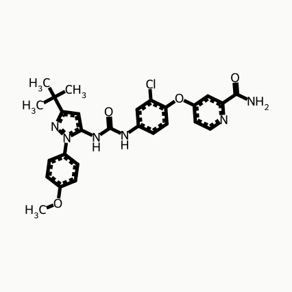 COc1ccc(-n2nc(C(C)(C)C)cc2NC(=O)Nc2ccc(Oc3ccnc(C(N)=O)c3)c(Cl)c2)cc1